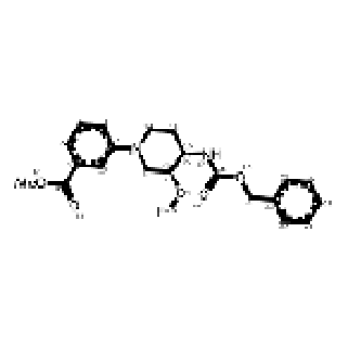 CCO[C@H]1CN(c2cccc(C(=O)OC)c2)CC[C@H]1NC(=O)OCc1ccccc1